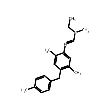 CCN(C)C=Nc1cc(C)c(Cc2ccc(C)cc2)cc1C